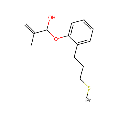 C=C(C)C(O)Oc1ccccc1CCCSC(C)C